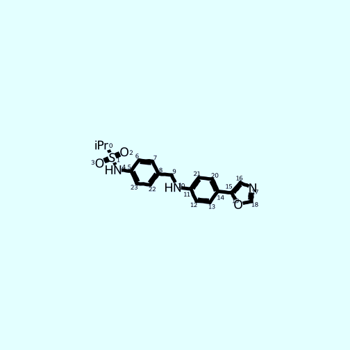 CC(C)S(=O)(=O)Nc1ccc(CNc2ccc(-c3cnco3)cc2)cc1